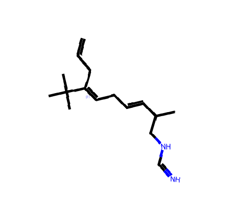 C=CC/C(=C\CC=CC(C)CNC=N)C(C)(C)C